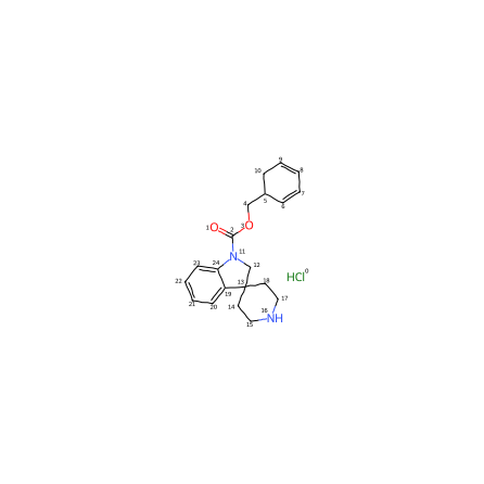 Cl.O=C(OCC1C=CC=CC1)N1CC2(CCNCC2)c2ccccc21